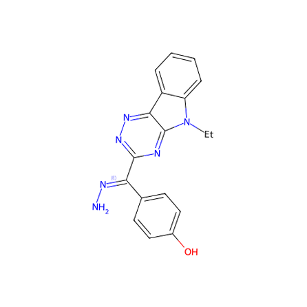 CCn1c2ccccc2c2nnc(/C(=N/N)c3ccc(O)cc3)nc21